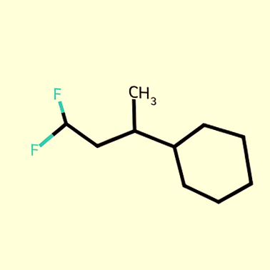 CC(CC(F)F)C1CCCCC1